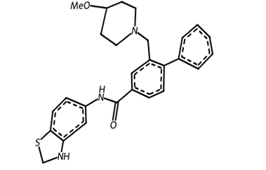 COC1CCN(Cc2cc(C(=O)Nc3ccc4c(c3)NCS4)ccc2-c2ccccc2)CC1